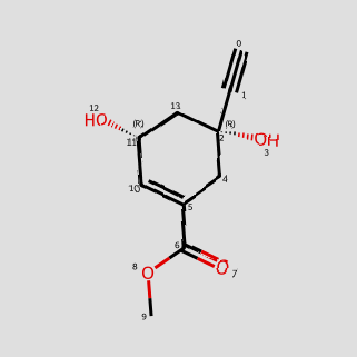 C#C[C@@]1(O)CC(C(=O)OC)=C[C@H](O)C1